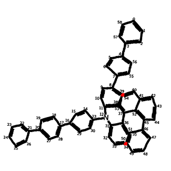 c1ccc(-c2ccc(-c3ccc(N(c4ccc(-c5ccc(-c6ccccc6)cc5)cc4)c4ccccc4-c4cccc5cccc(-c6ccccc6)c45)cc3)cc2)cc1